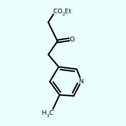 CCOC(=O)CC(=O)Cc1cncc(C)c1